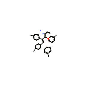 Cc1ccc(B(/C(=C(/c2ccc(C)cc2)c2ccccc2N(C)C)c2ccc(C)cc2)c2ccc(C)cc2)cc1